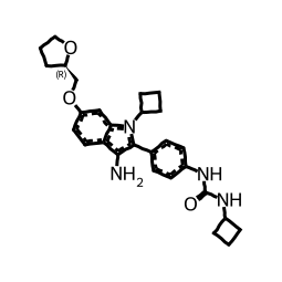 Nc1c(-c2ccc(NC(=O)NC3CCC3)cc2)n(C2CCC2)c2cc(OC[C@H]3CCCO3)ccc12